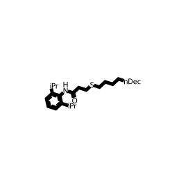 CCCCCCCCCCCCCCSCCC(=O)Nc1c(C(C)C)cccc1C(C)C